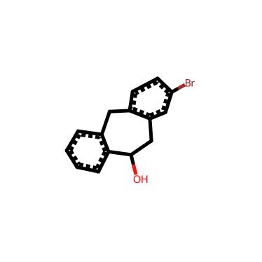 OC1Cc2cc(Br)ccc2Cc2ccccc21